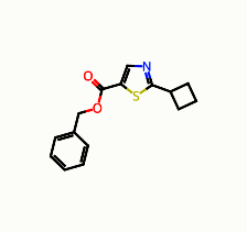 O=C(OCc1ccccc1)c1cnc(C2CCC2)s1